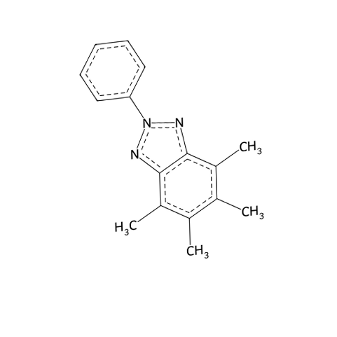 Cc1c(C)c(C)c2nn(-c3ccccc3)nc2c1C